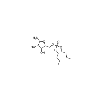 CCCCOP(=O)(OCCCC)OCC1OC(N)C(O)C1O